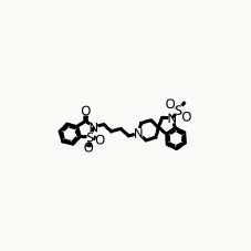 CS(=O)(=O)N1CC2(CCN(CCCCN3C(=O)c4ccccc4S3(=O)=O)CC2)c2ccccc21